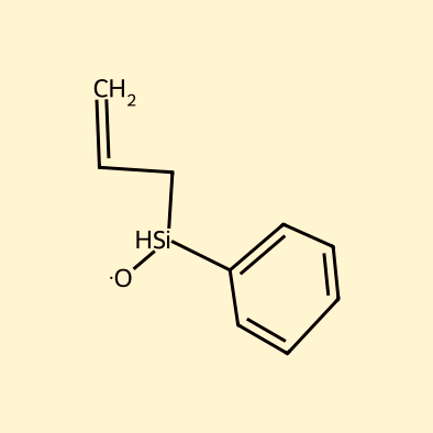 C=CC[SiH]([O])c1ccccc1